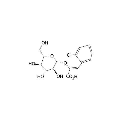 O=C(O)C(=Cc1ccccc1Cl)O[C@H]1O[C@@H](CO)[C@H](O)[C@@H](O)[C@@H]1O